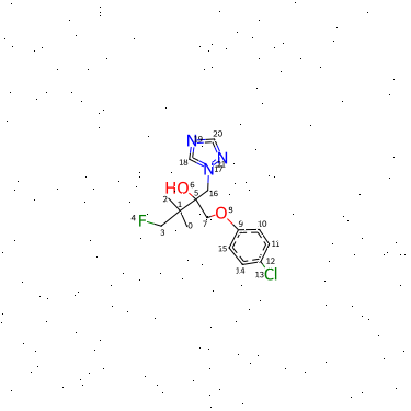 CC(C)(CF)C(O)(COc1ccc(Cl)cc1)Cn1cncn1